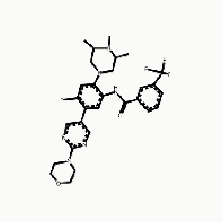 CC1CN(c2cc(F)c(-c3cnc(N4CCOCC4)nc3)cc2NC(=O)c2cccc(C(F)(F)F)c2)CC(C)N1C